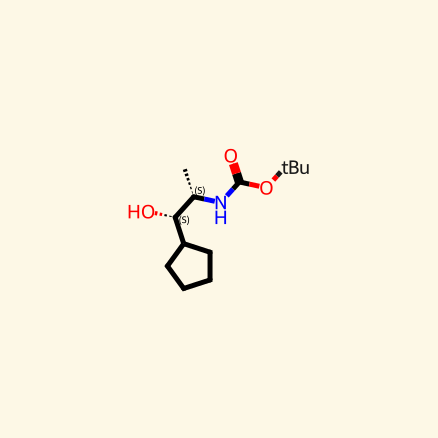 C[C@H](NC(=O)OC(C)(C)C)[C@@H](O)C1CCCC1